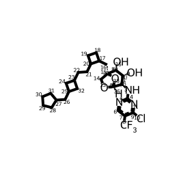 O[C@@H]1[C@@H](Nc2ncc(C(F)(F)F)c(Cl)n2)[C@H]2OC[C@](CC3CCC3CCC3CC(CC4CCCC4)C3)(O2)[C@@H]1O